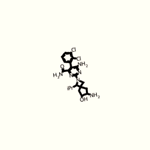 CC(C)C1N(c2nc(N)c(-c3cccc(Cl)c3Cl)c(C(N)=O)n2)CC12CC(N)C(O)C2